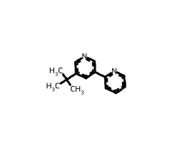 CC(C)(C)c1cncc(-c2ccccn2)c1